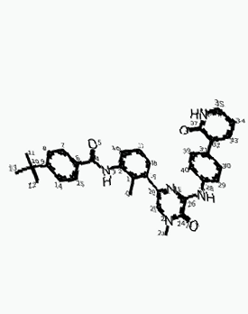 Cc1c(NC(=O)c2ccc(C(C)(C)C)cc2)cccc1-c1cn(C)c(=O)c(Nc2ccc(-c3ccc[nH]c3=O)cc2)n1